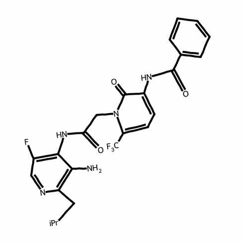 CC(C)Cc1ncc(F)c(NC(=O)Cn2c(C(F)(F)F)ccc(NC(=O)c3ccccc3)c2=O)c1N